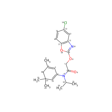 CC1=CC(N(C(=O)COc2nc3cc(Cl)ccc3o2)C(C)C)=CC(C)(C)C1